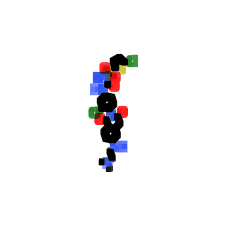 CN(C)CCNc1ccc2c(c1)CC(=O)N(c1ccc(NC(=O)NS(=O)(=O)c3ccc(Cl)s3)cc1Cl)C2=O